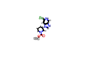 CC(C)(C)OC(=O)N1CCC[C@H](n2cnc3cnc(Br)cc32)C1